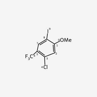 COc1cc(Cl)c(C(F)(F)F)cc1I